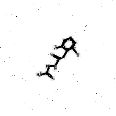 NC(=S)NNC(=O)Cc1c(Cl)cccc1Cl